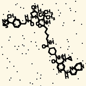 Cc1ncsc1-c1ccc(CNC(=O)[C@@H]2C[C@@H](O)CN2C(=O)[C@H](NC(=O)CCCCNC(=O)[C@H]2CC[C@H](NC(=O)c3cnc(Nc4ccc5cnccc5n4)cc3NC3CC3)CC2)C(C)(C)C)cc1